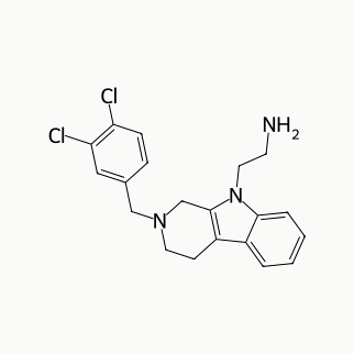 NCCn1c2c(c3ccccc31)CCN(Cc1ccc(Cl)c(Cl)c1)C2